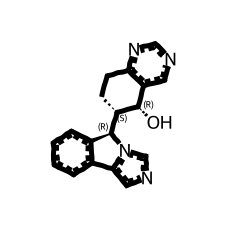 O[C@H]1c2cncnc2CC[C@H]1[C@@H]1c2ccccc2-c2cncn21